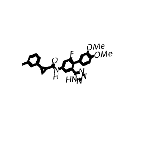 COc1ccc(-c2c(F)cc(NC(=O)C3CC3c3cccc(C)c3)cc2-c2nnn[nH]2)cc1OC